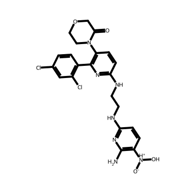 Nc1nc(NCCNc2ccc(N3CCOCC3=O)c(-c3ccc(Cl)cc3Cl)n2)ccc1[NH+]([O-])O